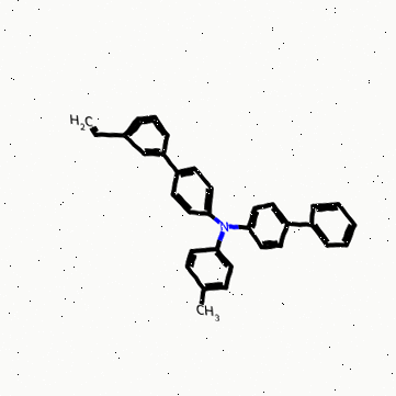 C=CC1=C=C=CC(c2ccc(N(c3ccc(C)cc3)c3ccc(-c4ccccc4)cc3)cc2)=C1